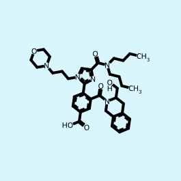 CCCCN(CCCC)C(=O)c1cn(CCCN2CCOCC2)c(-c2ccc(C(=O)O)cc2C(=O)N2Cc3ccccc3CC2CO)n1